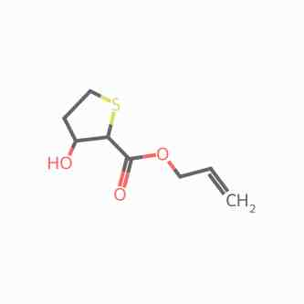 C=CCOC(=O)C1SCCC1O